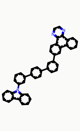 c1cc(-c2ccc(-c3cccc(-n4c5ccccc5c5ccccc54)c3)cc2)cc(-c2ccc3c(c2)c2ccccc2c2nccnc32)c1